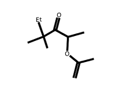 C=C(C)OC(C)C(=O)C(C)(C)CC